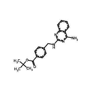 CC(C)(C)OC(=O)c1ccc(CNc2nc(N)c3ccccc3n2)cc1